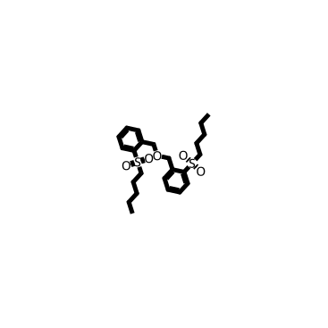 CCCCCS(=O)(=O)c1ccccc1COCc1ccccc1S(=O)(=O)CCCCC